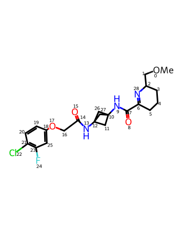 COCC1CCCC(C(=O)NC23CC(NC(=O)COc4ccc(Cl)c(F)c4)(C2)C3)=N1